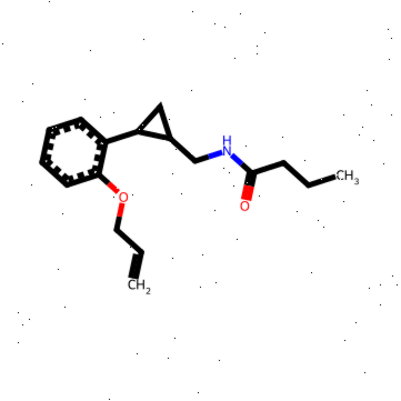 C=CCOc1ccccc1C1CC1CNC(=O)CCC